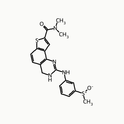 CN(C)C(=O)c1cc2c3c(ccc2s1)CNC(Nc1cccc([S+](C)[O-])c1)=N3